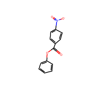 O=C(Oc1ccccc1)c1ccc([N+](=O)[O-])cc1